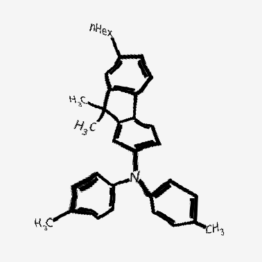 CCCCCCc1ccc2c(c1)C(C)(C)c1cc(N(c3ccc(C)cc3)c3ccc(C)cc3)ccc1-2